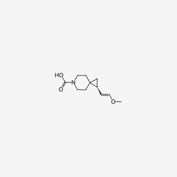 CO/C=C/[C@@H]1CC12CCN(C(=O)O)CC2